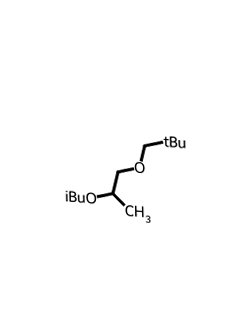 CC(C)COC(C)COCC(C)(C)C